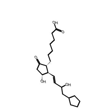 O=C(O)CCCCCC[C@H]1C(=O)C[C@@H](O)[C@@H]1C=CC(O)CC1CCCC1